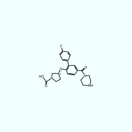 O=C(O)N1CC[C@H](Oc2ccc(C(=O)N3CCNCC3)cc2-c2ccc(F)cc2)C1